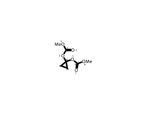 COC(=O)OC1(OC(=O)OC)CC1